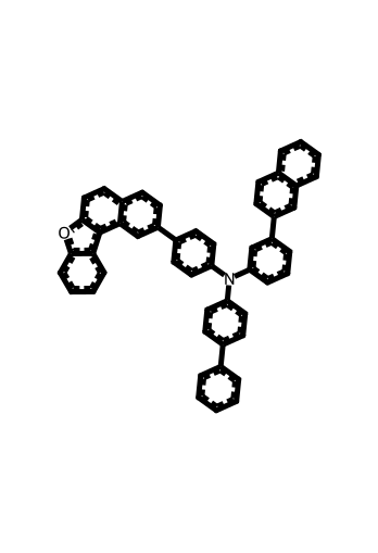 c1ccc(-c2ccc(N(c3ccc(-c4ccc5ccc6oc7ccccc7c6c5c4)cc3)c3cccc(-c4ccc5ccccc5c4)c3)cc2)cc1